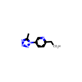 Cc1nnnn1-c1ccc(CC(=O)O)nc1